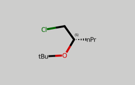 CCC[C@@H](CCl)OC(C)(C)C